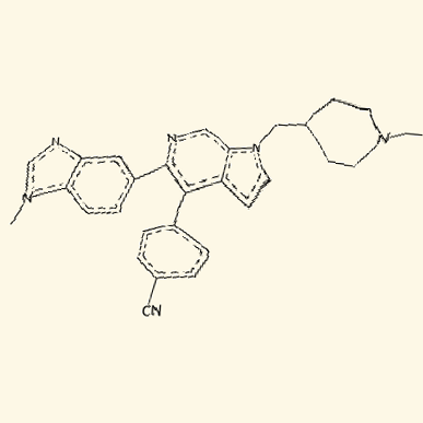 CN1CCC(Cn2ccc3c(-c4ccc(C#N)cc4)c(-c4ccc5c(c4)ncn5C)ncc32)CC1